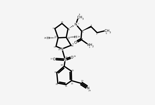 CCC[C@@H](C(N)=O)N(C)[C@H]1CC[C@@H]2CN(S(=O)(=O)c3cccc(C#N)c3)C[C@@H]21